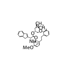 COc1ccc(CCc2ccccc2OC[C@H](CN(C)C)OC(=O)[C@H](N)C2=Cc3ccccc3C2)cc1